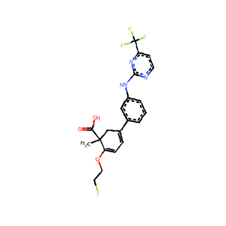 CC1(C(=O)O)CC(c2cccc(Nc3nccc(C(F)(F)F)n3)c2)=CC=C1OCCF